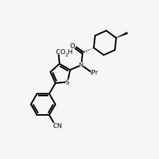 CC(C)N(c1sc(-c2cccc(C#N)c2)cc1C(=O)O)C(=O)[C@H]1CC[C@H](C)CC1